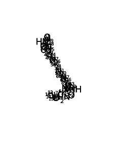 NC(=O)c1c(-c2ccc(Oc3ccccc3)cc2)nn2c1NCC[C@H]2C1CCN(C2CCN(CCC3CCN(c4ccc5c(c4)CN(C4CCC(=O)NC4=O)C5=O)CC3)CC2)CC1